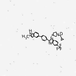 Cc1cc2cc(-c3ccc(-c4nc5cc(C(F)(F)F)ccc5n4C[C@@H]4CCN(C(=O)C5CC5)C4)cc3)ccc2[nH]1